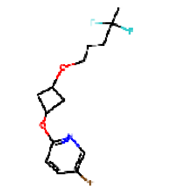 [CH2]C(F)(F)CCCOC1CC(Oc2ccc(Br)cn2)C1